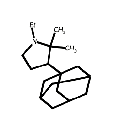 CCN1CCC(C23CC4CC(CC(C4)C2)C3)C1(C)C